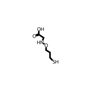 O=C(O)CNOCCCS